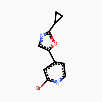 Brc1cc(-c2cnc(C3CC3)o2)ccn1